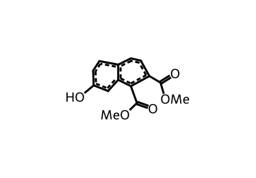 COC(=O)c1ccc2ccc(O)cc2c1C(=O)OC